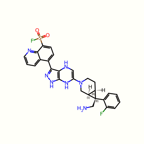 NC[C@]1(c2ccccc2F)[C@@H]2CCN(C3=CNc4c(-c5ccc(S(=O)(=O)F)c6ncccc56)n[nH]c4N3)C[C@@H]21